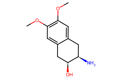 COc1cc2c(cc1OC)C[C@H](O)[C@H](N)C2